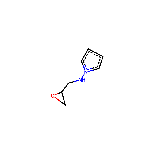 c1ccn(NCC2CO2)c1